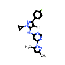 CCc1c(-c2ccc(F)cc2)nn(C2CC2)c1Nc1cc(-n2nc(C)cc2C)ncn1